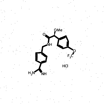 CO[C@H](C(=O)NCc1ccc(C(=N)N)cc1)c1ccc(OC(F)(F)F)cc1.Cl